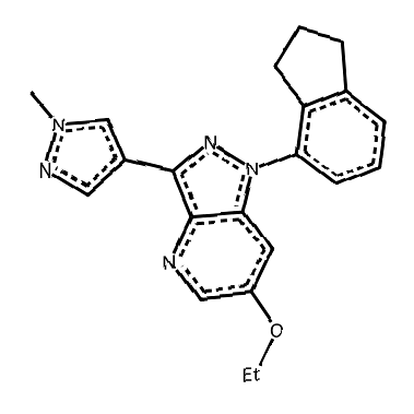 CCOc1cnc2c(-c3cnn(C)c3)nn(-c3cccc4c3CCC4)c2c1